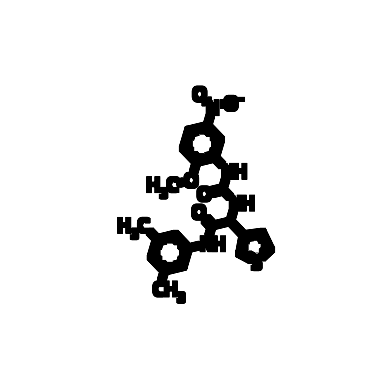 COc1ccc([N+](=O)[O-])cc1NC(=O)NC(C(=O)Nc1cc(C)cc(C)c1)c1ccsc1